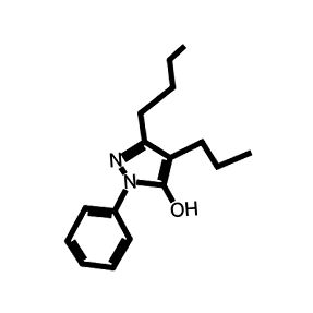 CCCCc1nn(-c2ccccc2)c(O)c1CCC